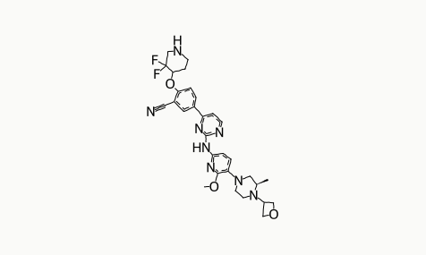 COc1nc(Nc2nccc(-c3ccc(OC4CCNCC4(F)F)c(C#N)c3)n2)ccc1N1CCN(C2COC2)[C@H](C)C1